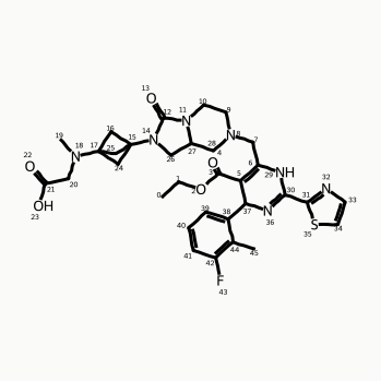 CCOC(=O)C1=C(CN2CCN3C(=O)N(C45CC(N(C)CC(=O)O)(C4)C5)CC3C2)NC(c2nccs2)=NC1c1cccc(F)c1C